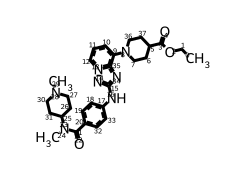 CCOC(=O)C1CCN(c2cccn3nc(Nc4ccc(C(=O)N(C)C5CCN(C)CC5)cc4)nc23)CC1